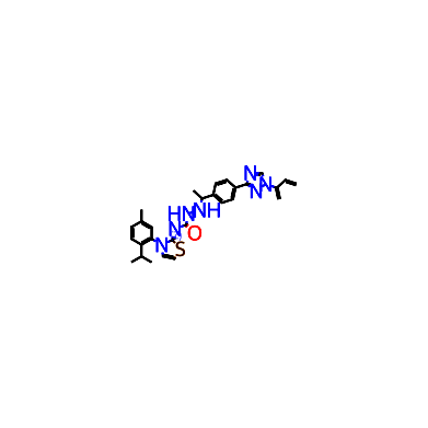 C=CC(=C)n1cnc(-c2ccc(C(C)NNC(=O)/N=c3\sccn3-c3cc(C)ccc3C(C)C)cc2)n1